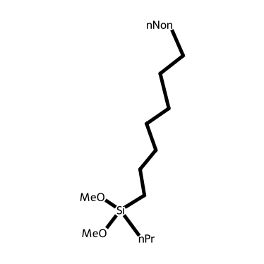 CCCCCCCCCCCCCCCC[Si](CCC)(OC)OC